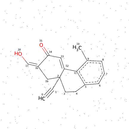 C#CC12CCc3cccc(C)c3C1=CC(=O)C(=CO)C2